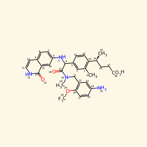 Cc1cc(C(Nc2ccc3cc[nH]c(=O)c3c2)C(=O)N(C)Cc2cc(N)ccc2OC(F)(F)F)ccc1[C@@H](C)CCC(=O)O